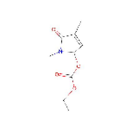 CCOC(=O)OC1C=C(C)C(=O)N1C